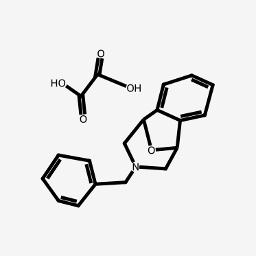 O=C(O)C(=O)O.c1ccc(CN2CC3OC(C2)c2ccccc23)cc1